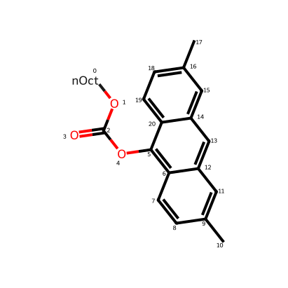 CCCCCCCCOC(=O)Oc1c2ccc(C)cc2cc2cc(C)ccc12